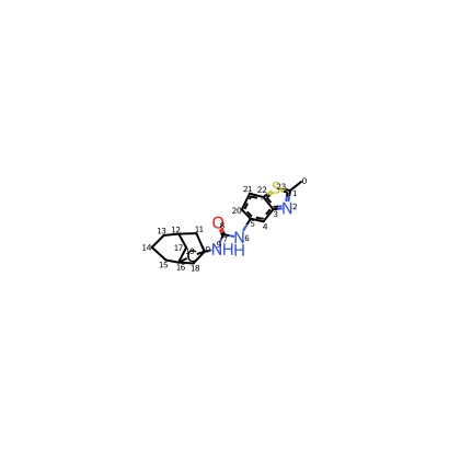 Cc1nc2cc(NC(=O)NC34CC5CCCC(C5)(C3)C4)ccc2s1